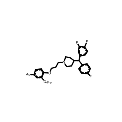 COc1cc(C(C)=O)ccc1OCCCN1CCC(C(c2ccc(F)cc2)c2ccc(F)c(F)c2)CC1